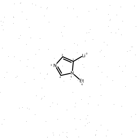 [Li][c]1cncn1CC